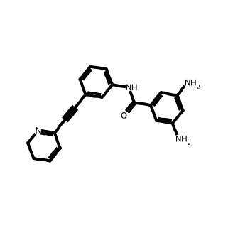 Nc1cc(N)cc(C(=O)Nc2cccc(C#CC3=NCCC=C3)c2)c1